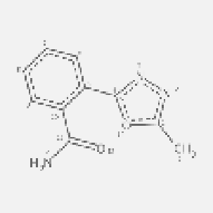 Cc1nnc(-c2ccccc2C(N)=O)o1